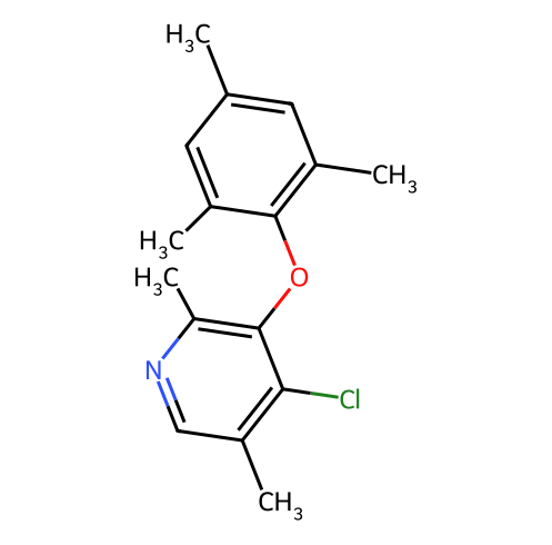 Cc1cc(C)c(Oc2c(C)ncc(C)c2Cl)c(C)c1